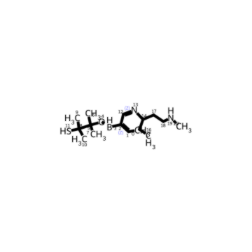 C/C=C(BOC(C)(C)C(C)(C)S)\C=N/C(CC)CCNC